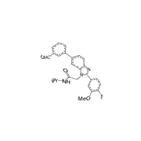 COc1cc(-c2nc3ccc(-c4cccc(C=O)c4)cc3n2CC(=O)NC(C)C)ccc1F